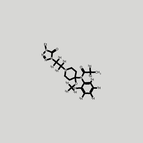 [2H]c1c([2H])c([2H])c(N(C(=O)C([2H])([2H])C)C2(OC([2H])([2H])[2H])CCN(C([2H])([2H])C([2H])([2H])n3nnn(CC)c3=O)CC2)c([2H])c1[2H]